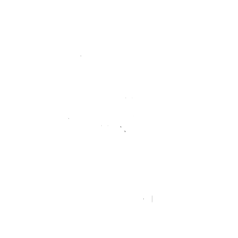 CCCC(=O)N(Oc1ccc(C(C)(C)CC)cc1C(C)(C)CC)c1ccc(O)cc1